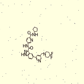 O=C(NC1CCCC1)c1ccc(NC(=O)c2n[nH]c3ccc(-c4cncc(CN5CCC(F)(F)CC5)c4)cc23)cn1